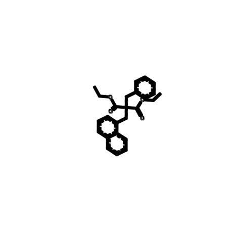 CCOC(=O)C(Cc1ccccc1)(Cc1cccc2ccccc12)C(=O)OCC